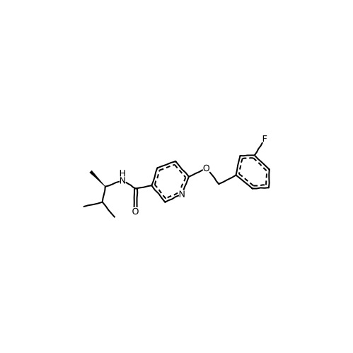 CC(C)[C@@H](C)NC(=O)c1ccc(OCc2cccc(F)c2)nc1